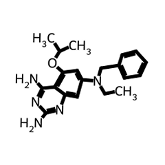 CCN(Cc1ccccc1)c1cc(OC(C)C)c2c(N)nc(N)nc2c1